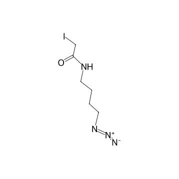 [N-]=[N+]=NCCCCNC(=O)CI